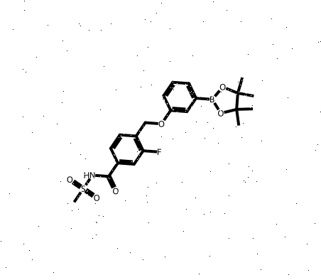 CC1(C)OB(c2cccc(OCc3ccc(C(=O)NS(C)(=O)=O)cc3F)c2)OC1(C)C